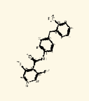 O=C(Nc1ccc(Cc2ccccc2C(F)(F)F)cc1)c1c(F)cncc1F